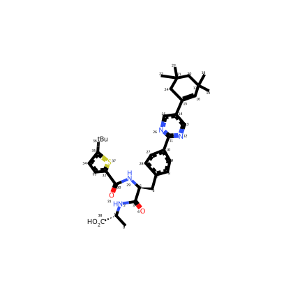 C[C@@H](NC(=O)[C@H](Cc1ccc(-c2ncc(C3=CC(C)(C)CC(C)(C)C3)cn2)cc1)NC(=O)c1ccc(C(C)(C)C)s1)C(=O)O